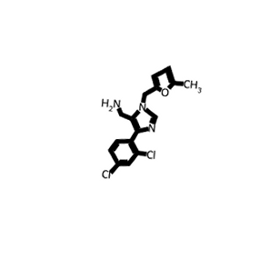 Cc1ccc(Cn2cnc(-c3ccc(Cl)cc3Cl)c2CN)o1